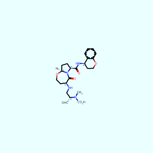 CN(C(=O)O)[C@H](C=O)CN[C@H]1CCO[C@H]2CC[C@@H](C(=O)N[C@@H]3CCOc4ccccc43)N2C1=O